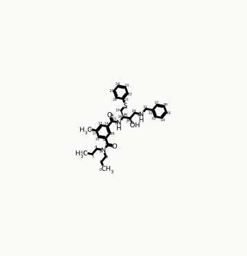 CCCN(CCC)C(=O)c1cc(C)cc(C(=O)N[C@@H](CSc2ccccc2)[C@H](O)CNCc2ccccc2)c1